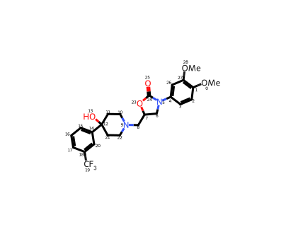 COc1ccc(N2CC(CN3CCC(O)(c4cccc(C(F)(F)F)c4)CC3)OC2=O)cc1OC